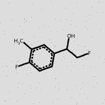 Cc1cc(C(O)CF)ccc1F